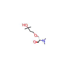 CN(C)[C@H](C=O)COCCC(C)(C)O